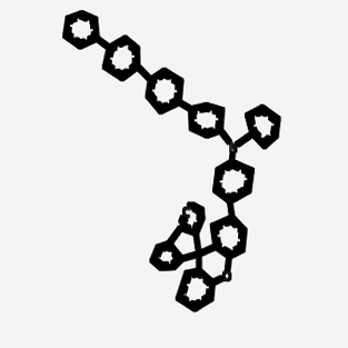 c1ccc(-c2ccc(-c3ccc(-c4ccc(N(c5ccccc5)c5ccc(-c6ccc7c(c6)C6(c8ccccc8O7)c7ccccc7-c7ccccc76)cc5)cc4)cc3)cc2)cc1